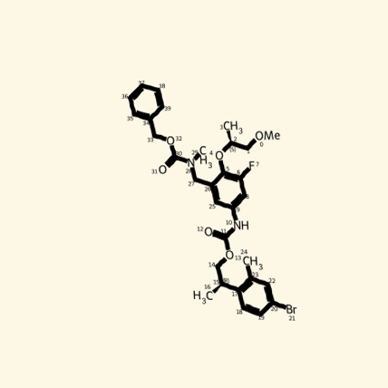 COC[C@H](C)Oc1c(F)cc(NC(=O)OC[C@H](C)c2ccc(Br)cc2C)cc1CN(C)C(=O)OCc1ccccc1